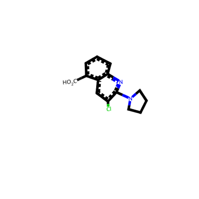 O=C(O)c1cccc2nc(N3CCCC3)c(Cl)cc12